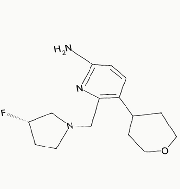 Nc1ccc(C2CCOCC2)c(CN2CC[C@H](F)C2)n1